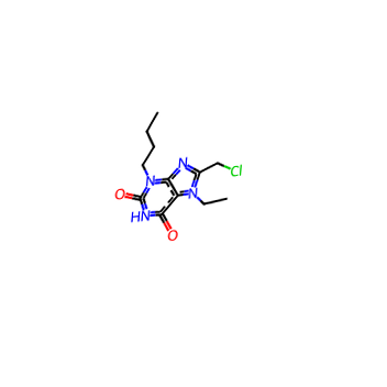 CCCCn1c(=O)[nH]c(=O)c2c1nc(CCl)n2CC